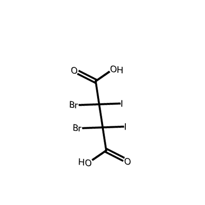 O=C(O)C(Br)(I)C(Br)(I)C(=O)O